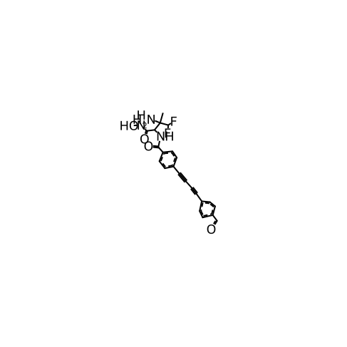 CC(N)(C(F)F)C(NC(=O)c1ccc(C#CC#Cc2ccc(C=O)cc2)cc1)C(=O)NO